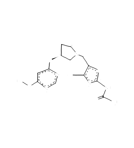 COc1cc(O[C@H]2CCN(Cc3sc(NC(C)=O)nc3F)C2)ncn1